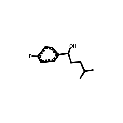 CC(C)CCC(O)c1ccc(F)cc1